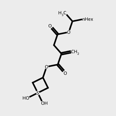 C=C(CC(=O)OC(C)CCCCCC)C(=O)OC1CS(O)(O)C1